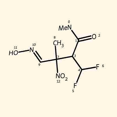 CNC(=O)C(C(F)F)C(C)(C=NO)[N+](=O)[O-]